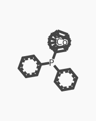 c1ccc(P(c2ccccc2)[C]23[CH]4[CH]5[CH]6[CH]2[Co]56432789[CH]3[CH]2[CH]7[CH]8[CH]39)cc1